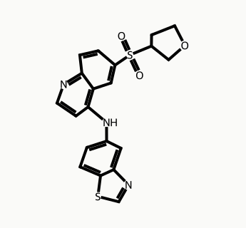 O=S(=O)(c1ccc2nccc(Nc3ccc4scnc4c3)c2c1)C1CCOC1